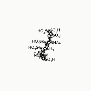 CC(=O)Nc1cc(N=Nc2cc(OCCCS(=O)(=O)O)c(N=Nc3c(C)c(C#N)c4nc5ccc(S(=O)(=O)O)c(Cl)c5n4c3O)cc2C)c(SCCCS(=O)(=O)O)cc1N=Nc1nc2c(S(=O)(=O)O)cc3c(S(=O)(=O)O)cc(S(=O)(=O)O)cc3c2s1